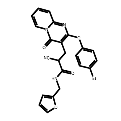 CCc1ccc(Oc2nc3ccccn3c(=O)c2CC(C#N)C(=O)NCc2ccco2)cc1